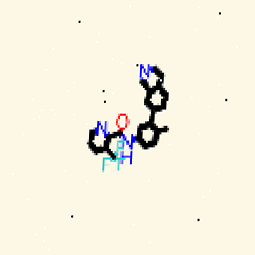 Cc1ccc(NC(=O)c2ncccc2C(F)(F)F)cc1-c1ccc2ccncc2c1